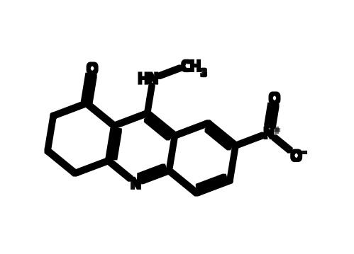 CNc1c2c(nc3ccc([N+](=O)[O-])cc13)CCCC2=O